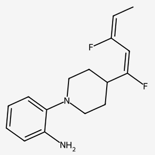 C/C=C(F)\C=C(\F)C1CCN(c2ccccc2N)CC1